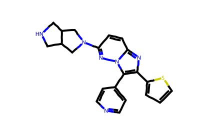 c1csc(-c2nc3ccc(N4CC5CNCC5C4)nn3c2-c2ccncc2)c1